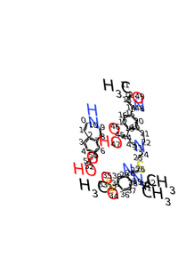 C1=Cc2ccccc2C=CN1.Cc1cc(-c2ccc3c(c2)CCN(CCSc2nc4cc(S(C)(=O)=O)ccc4n2C(C)C)CC3C(=O)O)no1.O=CO